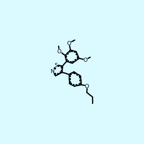 CCCOc1ccc(-c2cnsc2-c2cc(OC)cc(OC)c2OC)cc1